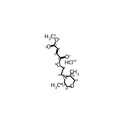 COC(=O)C=CC(=O)OCCN1[C@@H](C)COC[C@@H]1C.Cl